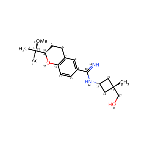 CO[C@](C)(C(C)=O)[C@H]1CCc2cc(C(=N)N[C@H]3C[C@@](C)(CO)C3)ccc2O1